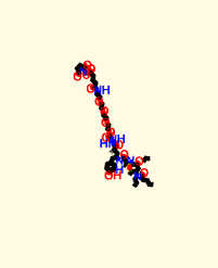 CCCCC(=O)N(CCC)C(CC(OCCC)c1nc(C(=O)NC(Cc2ccc(O)cc2)C[C@H](C)C(=O)NNC(=O)OCCOCCOCCOCCNC(=O)CCCC(=O)ON2C(=O)CCC2=O)cs1)C(C)C